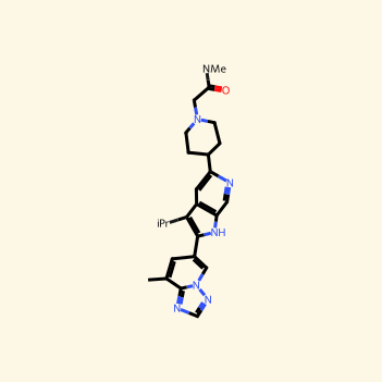 CNC(=O)CN1CCC(c2cc3c(C(C)C)c(-c4cc(C)c5ncnn5c4)[nH]c3cn2)CC1